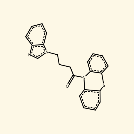 O=C(CCCn1cnc2ccccc21)N1c2ccccc2Sc2ccccc21